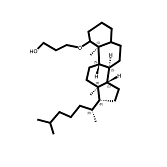 CC(C)CCC[C@@H](C)[C@H]1CC[C@H]2[C@@H]3CCC4CCCC(OCCCO)[C@]4(C)[C@H]3CC[C@]12C